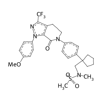 COc1ccc(-n2nc(C(F)(F)F)c3c2C(=O)N(c2ccc(C4(CN(C)S(C)(=O)=O)CCCC4)cc2)CC3)cc1